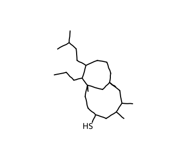 CCCC1C(CCC(C)C)CCCC2(C)CC(C)C(C)CC(S)CCC1(C)C2